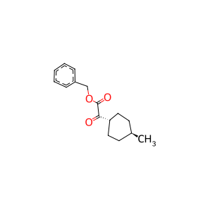 C[C@H]1CC[C@H](C(=O)C(=O)OCc2ccccc2)CC1